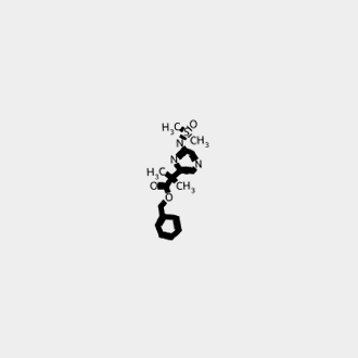 CC(C)(C(=O)OCc1ccccc1)c1cncc(N=S(C)(C)=O)n1